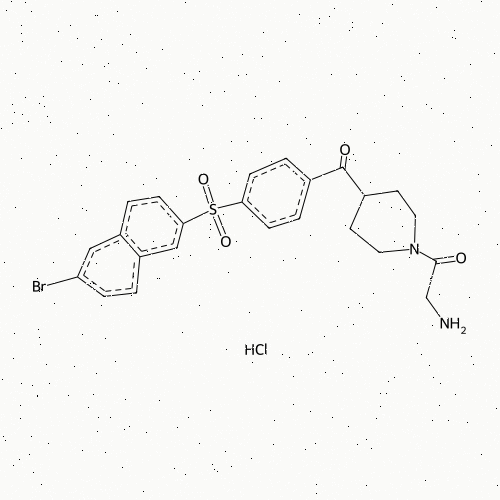 Cl.NCC(=O)N1CCC(C(=O)c2ccc(S(=O)(=O)c3ccc4cc(Br)ccc4c3)cc2)CC1